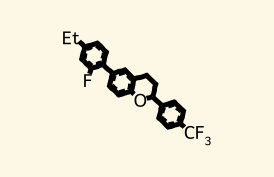 CCc1ccc(-c2ccc3c(c2)CCC(c2ccc(C(F)(F)F)cc2)O3)c(F)c1